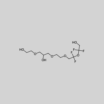 OCCOCC(O)COCCOCC(F)(F)OC(F)(F)CO